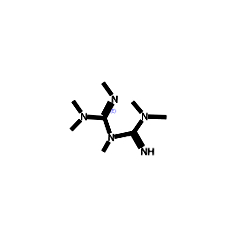 C/N=C(\N(C)C)N(C)C(=N)N(C)C